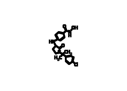 CC(C)(c1ccc(Cl)cc1)N1CCC(Nc2ccc(C(=O)NO)cc2)C1=O